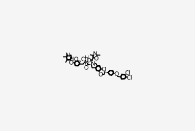 Cc1nc(C)c(C(=O)N2Cc3cc4c(cc3C[C@H]2C(=O)N[C@@H](Cc2ccc(Oc3ccnc(C)c3C)cc2)C(=O)O)OC[C@H](c2ccc(OCc3ccc(Cl)c(Cl)c3)cc2)O4)o1